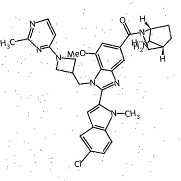 COc1cc(C(=O)N2C[C@H]3CC[C@@H]2[C@@H]3N)cc2nc(-c3cc4cc(Cl)ccc4n3C)n(CC3CN(c4ccnc(C)n4)C3)c12